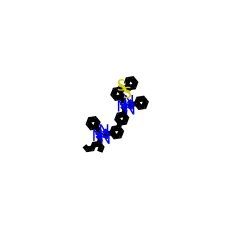 C=C/C(=C\C=C/C)c1nc(-c2ccccc2)nc(-c2cccc(-c3ccc(-c4nc(-c5ccccc5)nc(-c5cccc6c5Sc5ccccc5S6)n4)cc3)c2)n1